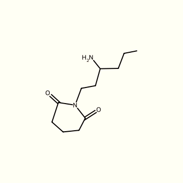 CCCC(N)CCN1C(=O)CCCC1=O